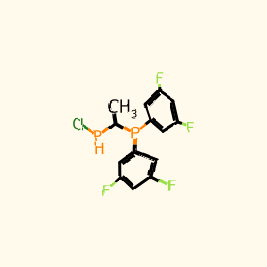 CC(PCl)P(c1cc(F)cc(F)c1)c1cc(F)cc(F)c1